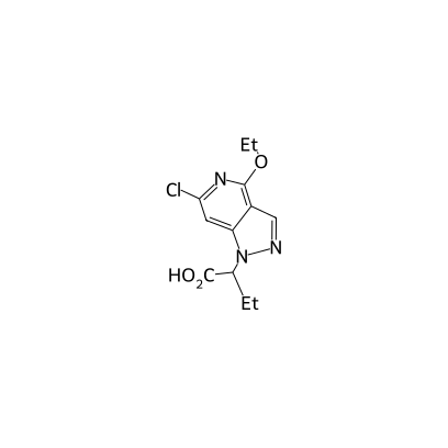 CCOc1nc(Cl)cc2c1cnn2C(CC)C(=O)O